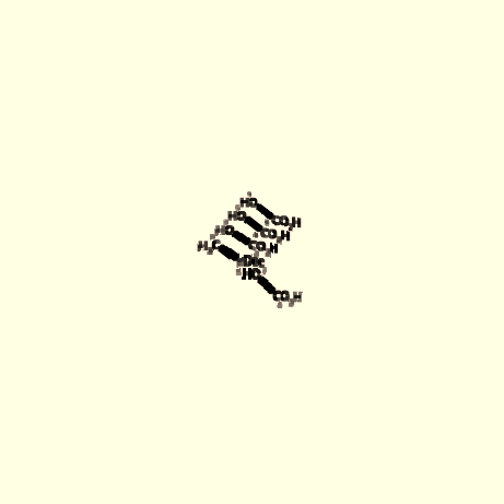 CCCCCCCCCCC.O=C(O)O.O=C(O)O.O=C(O)O.O=C(O)O